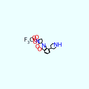 O=C1CCC(N2Cc3c(cccc3C3CCNCC3)C2=O)C(=O)N1OC(=O)C(F)(F)F